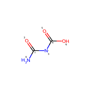 NC(=O)[N]C(=O)O